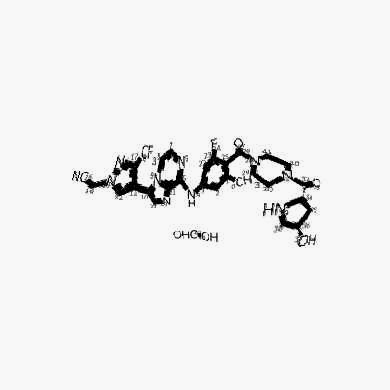 Cc1cc(Nc2nccn3c(-c4cn(CC#N)nc4C(F)(F)F)cnc23)cc(F)c1C(=O)N1CCN(C(=O)[C@@H]2C[C@@H](O)CN2)CC1.O=CO